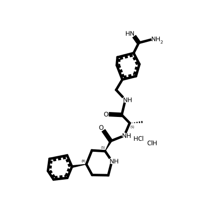 C[C@H](NC(=O)[C@@H]1C[C@H](c2ccccc2)CCN1)C(=O)NCc1ccc(C(=N)N)cc1.Cl.Cl